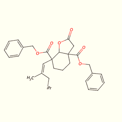 C/C(=C/C1(C(=O)OCc2ccccc2)CCCC2(C(=O)OCc3ccccc3)CC(=O)OC12)CC(C)C